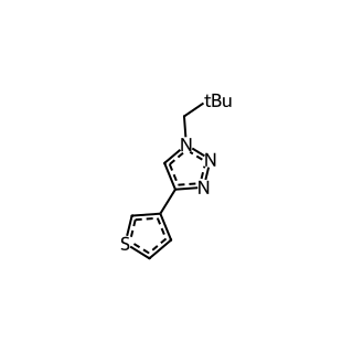 CC(C)(C)Cn1cc(-c2ccsc2)nn1